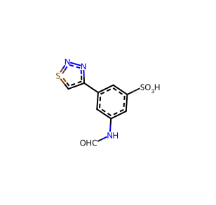 O=CNc1cc(-c2csnn2)cc(S(=O)(=O)O)c1